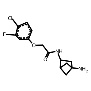 NC12CC(C1)C(NC(=O)COc1ccc(Cl)c(F)c1)C2